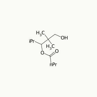 CCCC(=O)OC(C(C)C)C(C)(C)CO